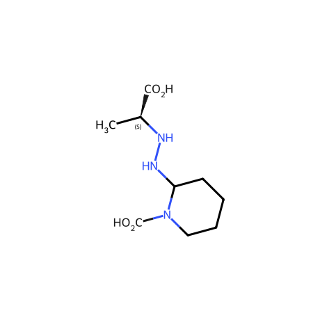 C[C@H](NNC1CCCCN1C(=O)O)C(=O)O